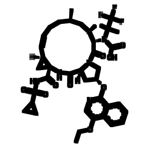 CCOc1cnc(O[C@@H]2C[C@H]3C(=O)N[C@]4(C(=O)NS(=O)(=O)C5CC5)C[C@H]4C=CCC[C@@H](C)C[C@@H](C)[C@H](N(C(=O)O)C(C)(C)C(F)(F)F)C(=O)N3C2)c2ccccc12